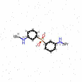 CC(C)Nc1cccc(S(=O)(=O)c2cccc(NC(C)(C)C)c2)c1